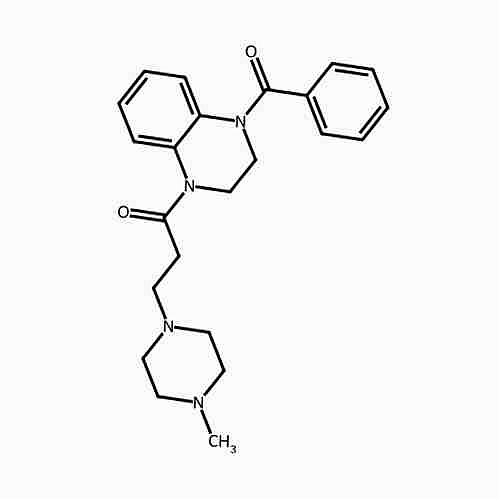 CN1CCN(CCC(=O)N2CCN(C(=O)c3ccccc3)c3ccccc32)CC1